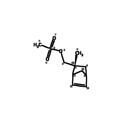 C[C@@]1(COS(C)(=O)=O)CC2C=CC1C2